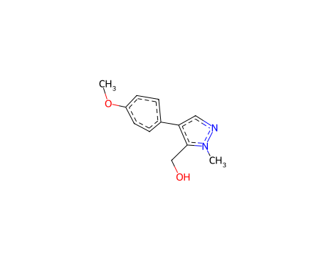 COc1ccc(-c2cnn(C)c2CO)cc1